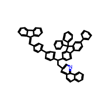 C(=C1c2ccccc2-c2ccccc21)c1ccc(-c2ccc(C(Cc3cnc4c(ccc5ccccc54)c3)c3ccc4c(c3)C(c3ccccc3)(c3ccccc3)c3cc(-c5ccccc5)ccc3-4)cc2)cc1